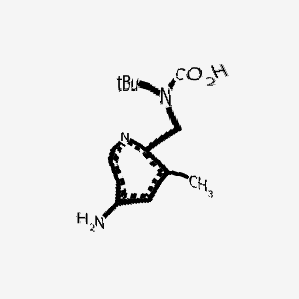 Cc1cc(N)cnc1CN(C(=O)O)C(C)(C)C